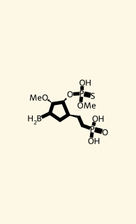 BC1C[C@H](CCP(=O)(O)O)[C@@H](OP(O)(=S)OC)[C@H]1OC